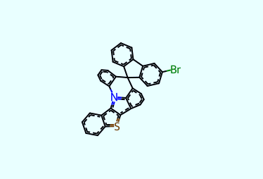 Brc1ccc2c(c1)-c1ccccc1C21c2ccccc2-n2c3c1cccc3c1sc3ccccc3c12